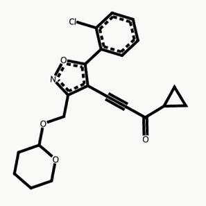 O=C(C#Cc1c(COC2CCCCO2)noc1-c1ccccc1Cl)C1CC1